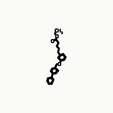 CCOC(=O)CCCCc1cccc(OCc2ccc(-c3ccccc3)cc2)c1